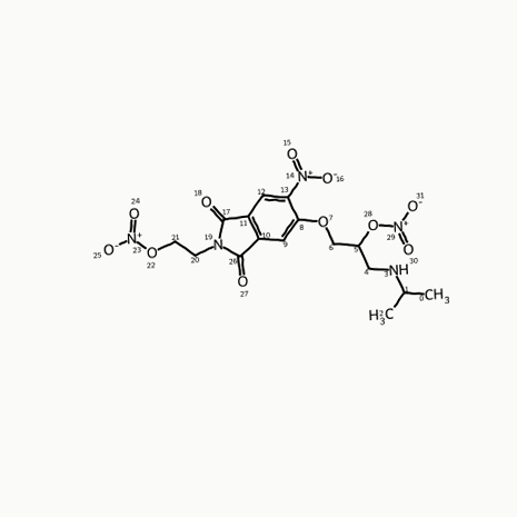 CC(C)NCC(COc1cc2c(cc1[N+](=O)[O-])C(=O)N(CCO[N+](=O)[O-])C2=O)O[N+](=O)[O-]